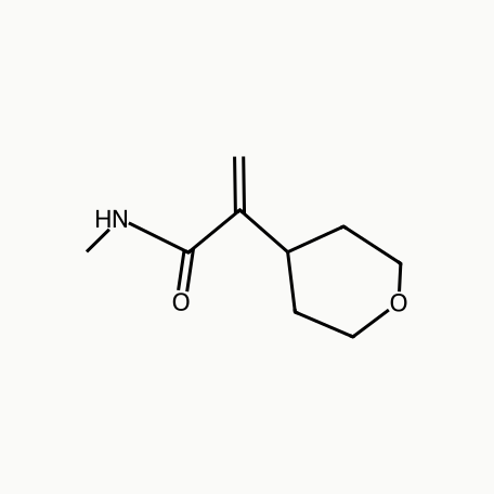 C=C(C(=O)NC)C1CCOCC1